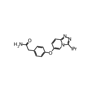 CC(C)c1nnc2ccc(Oc3ccc(CC(N)=O)cc3)cn12